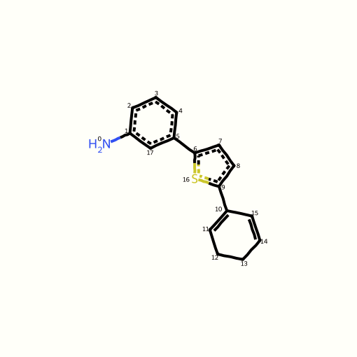 Nc1cccc(-c2ccc(C3=CCCC=C3)s2)c1